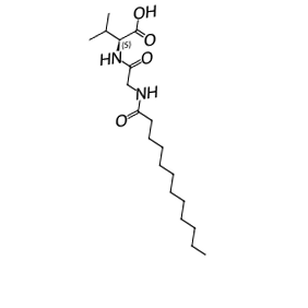 CCCCCCCCCCCC(=O)NCC(=O)N[C@H](C(=O)O)C(C)C